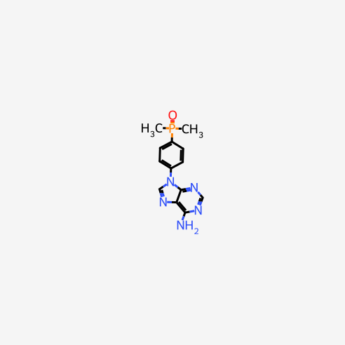 CP(C)(=O)c1ccc(-n2cnc3c(N)ncnc32)cc1